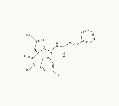 C=C(C)C[C@](NC(=S)NC(=O)OCc1ccccc1)(C(=O)OC(C)C)c1ccc(Br)cc1